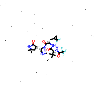 C/N=C\[C@H](C[C@@H]1CC(C)(C)NC1=O)NC(=O)[C@H](CC1CC1(F)F)NC(=O)[C@@H](NC(=O)C(F)(F)F)C(C)(C)C